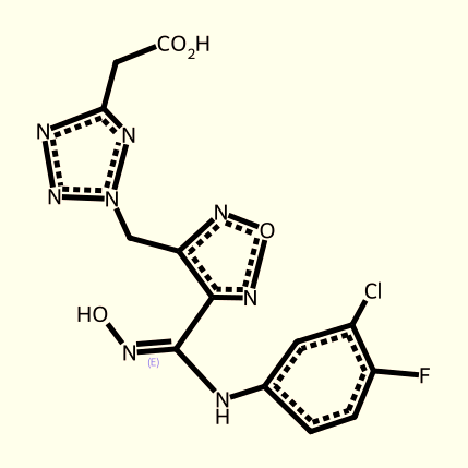 O=C(O)Cc1nnn(Cc2nonc2/C(=N\O)Nc2ccc(F)c(Cl)c2)n1